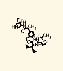 CC(C)n1nccc1C(=O)N[C@H](C(=O)Nc1ccc([C@H](C)C(=O)N[C@H]2CNCC2(F)F)cc1F)C(C1CC1)C1CC1